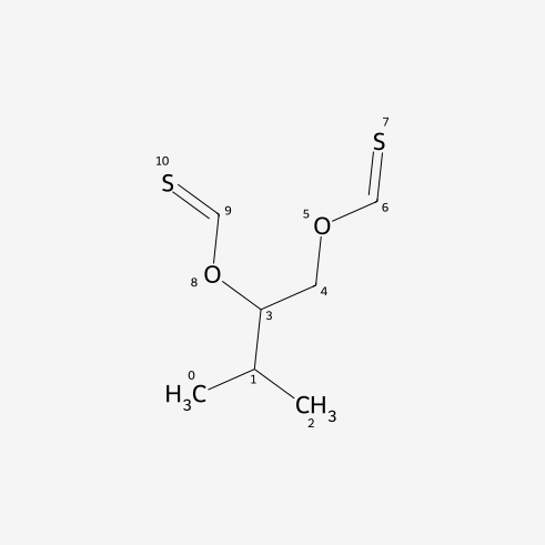 CC(C)C(COC=S)OC=S